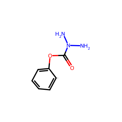 NN(N)C(=O)Oc1[c]cccc1